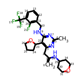 C=C(Cc1nc(C)nc(NCc2cccc(C(F)(F)F)c2F)c1C1CCCO1)NC1CCOCC1